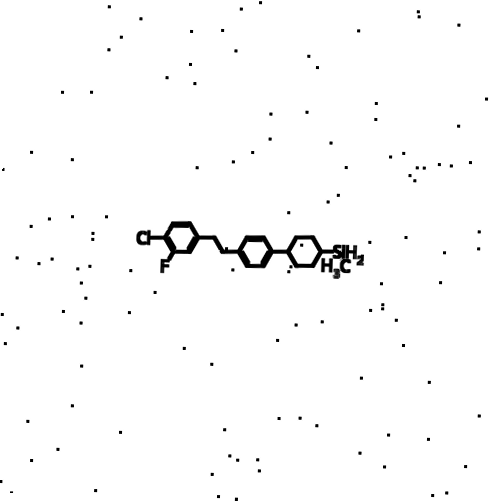 C[SiH2]C1CCC(c2ccc(CCc3ccc(Cl)c(F)c3)cc2)CC1